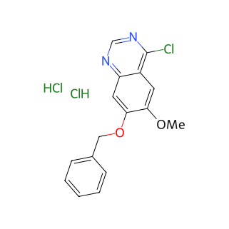 COc1cc2c(Cl)ncnc2cc1OCc1ccccc1.Cl.Cl